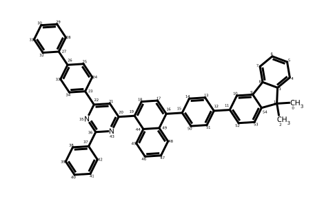 CC1(C)c2ccccc2-c2cc(-c3ccc(-c4ccc(-c5cc(-c6ccc(-c7ccccc7)cc6)nc(-c6ccccc6)n5)c5ccccc45)cc3)ccc21